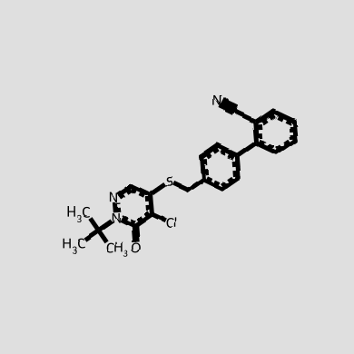 CC(C)(C)n1ncc(SCc2ccc(-c3ccccc3C#N)cc2)c(Cl)c1=O